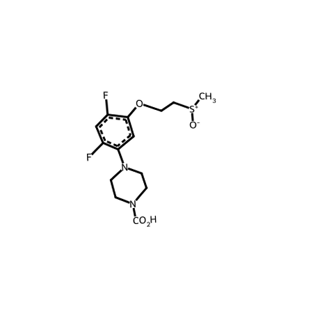 C[S+]([O-])CCOc1cc(N2CCN(C(=O)O)CC2)c(F)cc1F